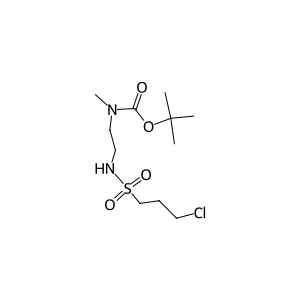 CN(CCNS(=O)(=O)CCCCl)C(=O)OC(C)(C)C